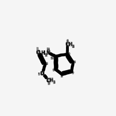 COC=O.Cc1ccccc1N